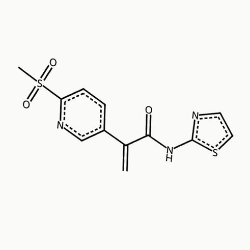 C=C(C(=O)Nc1nccs1)c1ccc(S(C)(=O)=O)nc1